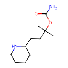 CC(C)(CCC1CCCCN1)OC(N)=O